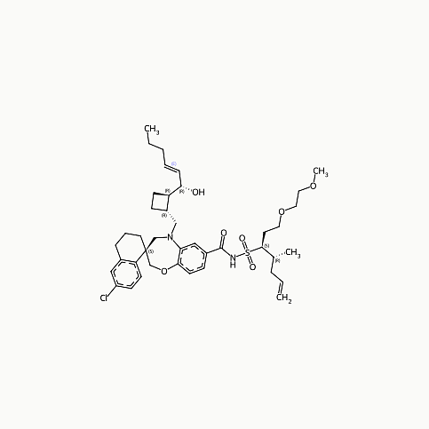 C=CC[C@@H](C)[C@H](CCOCCOC)S(=O)(=O)NC(=O)c1ccc2c(c1)N(C[C@@H]1CC[C@H]1[C@@H](O)/C=C/CCC)C[C@@]1(CCCc3cc(Cl)ccc31)CO2